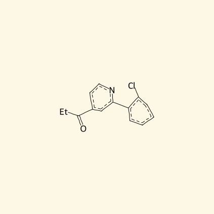 CCC(=O)c1ccnc(-c2ccccc2Cl)c1